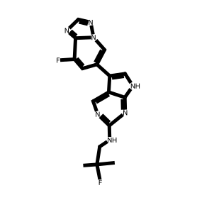 CC(C)(F)CNc1ncc2c(-c3cc(F)c4ncnn4c3)c[nH]c2n1